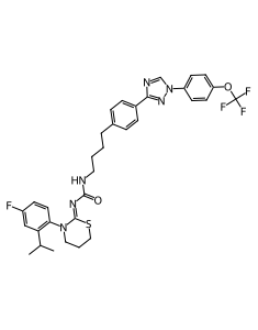 CC(C)c1cc(F)ccc1N1CCCS/C1=N\C(=O)NCCCCc1ccc(-c2ncn(-c3ccc(OC(F)(F)F)cc3)n2)cc1